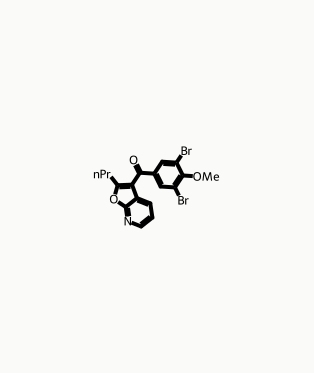 CCCc1oc2ncccc2c1C(=O)c1cc(Br)c(OC)c(Br)c1